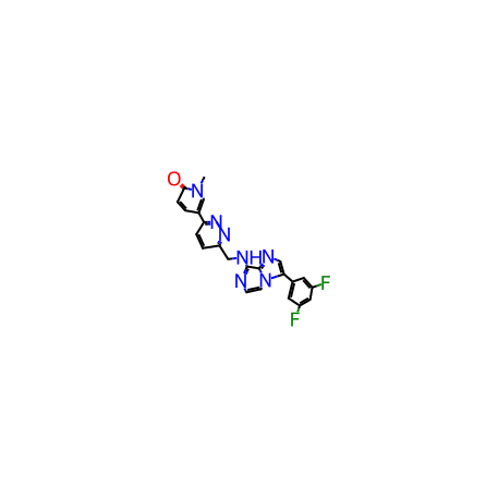 Cn1cc(-c2ccc(CNc3nccn4c(-c5cc(F)cc(F)c5)cnc34)nn2)ccc1=O